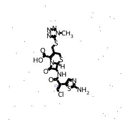 Cn1nnnc1SCC1=C(C(=O)O)N2C(=O)C(NC(=O)/C(=C/Cl)c3cnc(N)s3)[C@H]2SC1